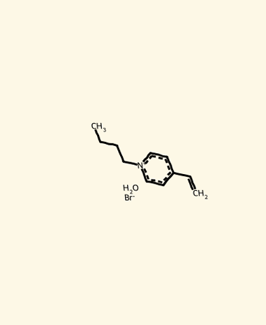 C=Cc1cc[n+](CCCC)cc1.O.[Br-]